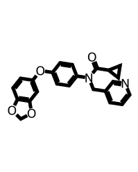 O=C(C1CC1)N(Cc1cccnc1)c1ccc(Oc2ccc3c(c2)OCO3)cc1